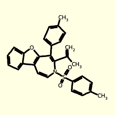 C=C(C)C1=C(c2ccc(C)cc2)c2oc3ccccc3c2C=CN1S(=O)(=O)c1ccc(C)cc1